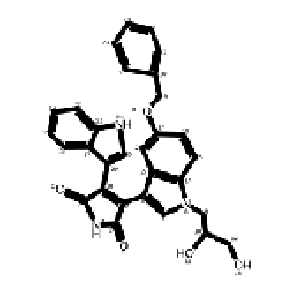 O=C1NC(=O)C(c2cn(CC(O)CO)c3ccc(OCc4ccccc4)cc23)=C1c1c[nH]c2ccccc12